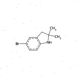 CC1(C)Cc2cc(Br)ccc2N1